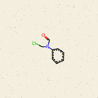 O=CN(CCl)c1ccccc1